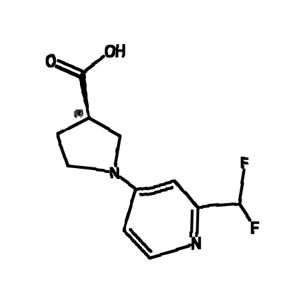 O=C(O)[C@@H]1CCN(c2ccnc(C(F)F)c2)C1